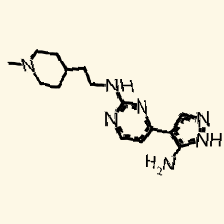 CN1CCC(CCNc2nccc(-c3cn[nH]c3N)n2)CC1